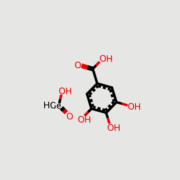 O=C(O)c1cc(O)c(O)c(O)c1.[O]=[GeH][OH]